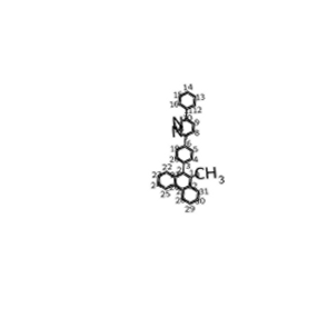 Cc1c(-c2ccc(-c3ccc(-c4ccccc4)nn3)cc2)c2ccccc2c2ccccc12